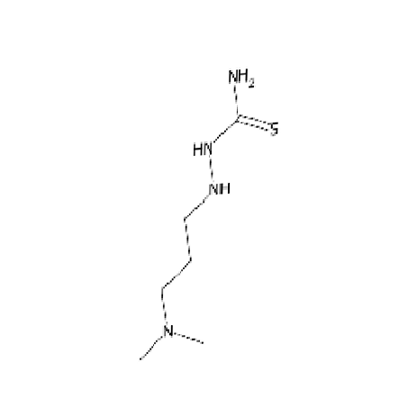 CN(C)CCCNNC(N)=S